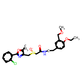 CCOc1ccc(CCNC(=O)C[S+]([O-])Cc2nc(-c3ccccc3Cl)oc2C)cc1COC